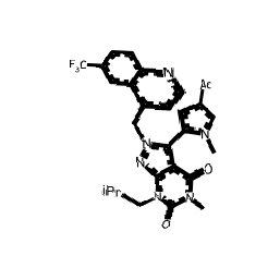 CC(=O)c1cc(-c2c3c(=O)n(C)c(=O)n(CC(C)C)c3nn2Cc2ccnc3ccc(C(F)(F)F)cc23)n(C)c1